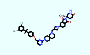 CC(C)(c1ccc(OCc2ccnc(N3CCC4(CCCN(CC5CN(c6ccc7c(c6)C(=O)N(C6(C=O)CCC(=O)NC6)C7=O)C5)C4)CC3)n2)cc1)c1cc(Cl)cc(C#N)c1